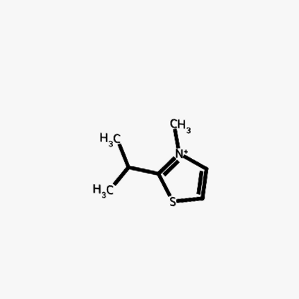 CC(C)c1scc[n+]1C